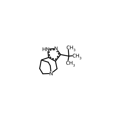 CC(C)(C)c1n[nH]c2c1CN1CCC2CC1